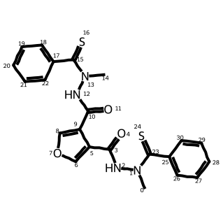 CN(NC(=O)c1cocc1C(=O)NN(C)C(=S)c1ccccc1)C(=S)c1ccccc1